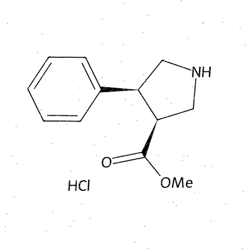 COC(=O)[C@@H]1CNC[C@@H]1c1ccccc1.Cl